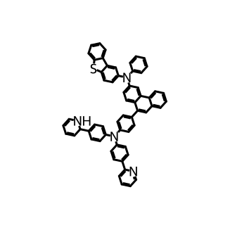 C1=CNC(c2ccc(N(c3ccc(-c4ccccn4)cc3)c3ccc(-c4cc5ccccc5c5cc(N(c6ccccc6)c6ccc7sc8ccccc8c7c6)ccc45)cc3)cc2)C=C1